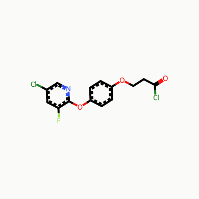 O=C(Cl)CCOc1ccc(Oc2ncc(Cl)cc2F)cc1